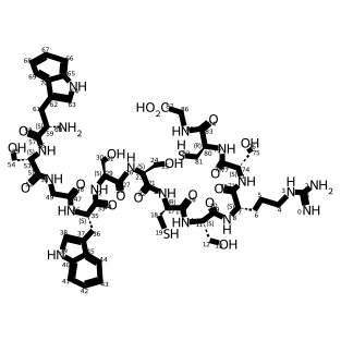 N=C(N)NCCC[C@H](NC(=O)[C@H](CO)NC(=O)[C@H](CS)NC(=O)[C@H](CO)NC(=O)[C@H](CO)NC(=O)[C@H](Cc1c[nH]c2ccccc12)NC(=O)CNC(=O)[C@H](CO)NC(=O)[C@@H](N)Cc1c[nH]c2ccccc12)C(=O)N[C@@H](CO)C(=O)N[C@@H](CS)C(=O)NCC(=O)O